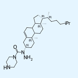 CC(C)CCC[C@@H](C)[C@H]1CCC2C3CC=C4C[C@@H](N(N)C(=O)N5CCNCC5)CC[C@]4(C)C3CC[C@@]21C